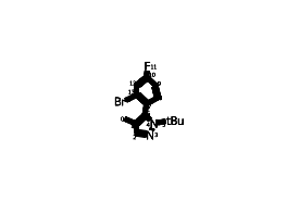 Cc1cnn(C(C)(C)C)c1-c1ccc(F)cc1Br